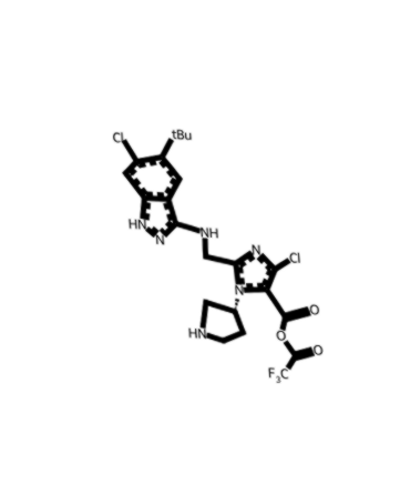 CC(C)(C)c1cc2c(NCc3nc(Cl)c(C(=O)OC(=O)C(F)(F)F)n3[C@@H]3CCNC3)n[nH]c2cc1Cl